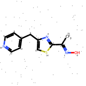 O/N=C(/c1nc(Cc2ccncc2)cs1)C(F)(F)F